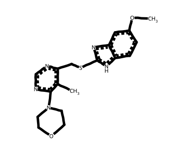 COc1ccc2[nH]c(SCc3ncnc(N4CCOCC4)c3C)nc2c1